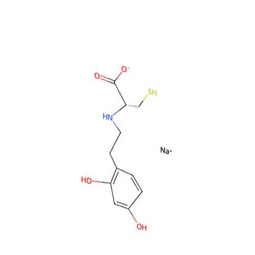 O=C([O-])[C@H](CS)NCCc1ccc(O)cc1O.[Na+]